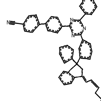 C=CC/C=C\C=C1/CC(c2ccccc2)(c2cccc(-c3nc(-c4ccccc4)nc(-c4ccc(-c5ccc(C#N)cc5)cc4)n3)c2)c2ccccc21